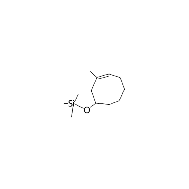 C/C1=C/CCCCC(O[Si](C)(C)C)C1